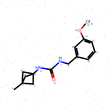 CC12CC(NC(=O)NCc3cccc(OC(F)(F)F)c3)(C1)C2